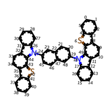 c1ccc2c(c1)sc1c2ccc2c3ccccc3n(-c3ccc4cc(-n5c6ccccc6c6ccc7c8ccccc8sc7c65)ccc4c3)c21